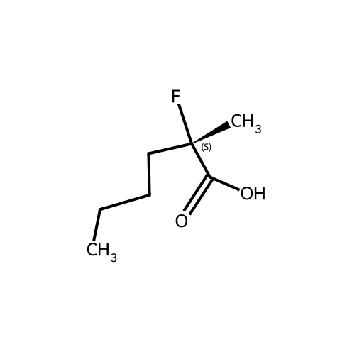 CCCC[C@](C)(F)C(=O)O